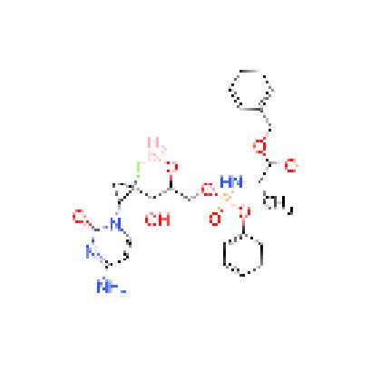 BOC(CO[P@@](=O)(N[C@@H](C)C(=O)OCc1ccccc1)Oc1ccccc1)[C@H](O)C1(F)C[C@H]1n1ccc(N)nc1=O